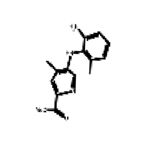 COC(=O)c1cc(C)c(Nc2c(C)cccc2N)cn1